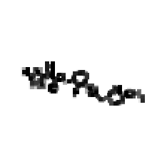 Cc1ccc(CC2CN(c3cccc(COC(=O)NC(=N)N)c3F)C2)cn1